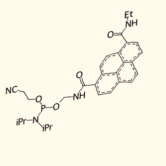 CCNC(=O)c1ccc2ccc3ccc(C(=O)NCOP(OCCC#N)N(C(C)C)C(C)C)c4ccc1c2c34